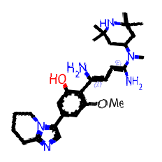 COc1cc(-c2cnc3n2CCCC3)cc(O)c1/C(N)=C/C=C(\N)N(C)C1CC(C)(C)NC(C)(C)C1